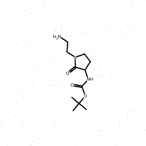 CC(C)(C)OC(=O)NC1CCN(CCN)C1=O